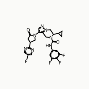 O=C1CC(c2ncc(F)cn2)CN1c1cnn2c1CN(C(=O)Nc1cc(F)c(F)c(F)c1)C(C1CC1)C2